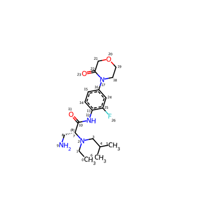 CCN(CC(C)C)[C@H](CN)C(=O)Nc1ccc(N2CCOCC2=O)cc1F